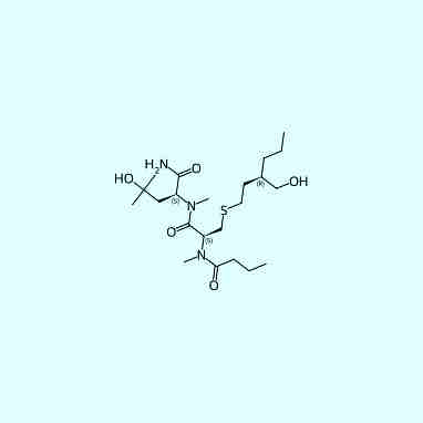 CCCC(=O)N(C)[C@H](CSCC[C@H](CO)CCC)C(=O)N(C)[C@@H](CC(C)(C)O)C(N)=O